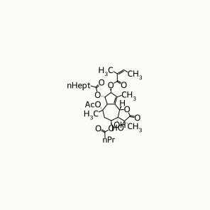 C/C=C(/C)C(=O)O[C@H]1C(C)=C2C([C@@H]1OC(=O)CCCCCCC)[C@@](C)(OC(C)=O)C[C@H](OC(=O)CCC)[C@@]1(O)[C@H]2OC(=O)[C@@]1(C)O